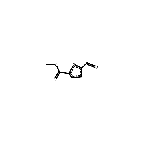 COC(=S)c1ccc(C=O)s1